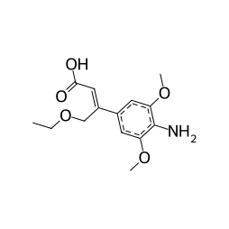 CCOCC(=CC(=O)O)c1cc(OC)c(N)c(OC)c1